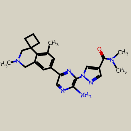 Cc1cc(-c2cnc(N)c(-n3cc(C(=O)N(C)C)cn3)n2)cc2c1C1(CCC1)CN(C)C2